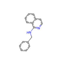 c1ccc(CNc2nccc3ccccc23)cc1